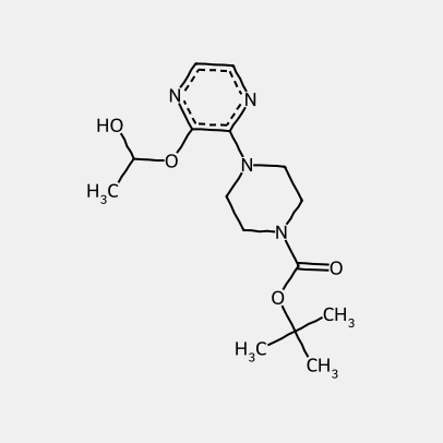 CC(O)Oc1nccnc1N1CCN(C(=O)OC(C)(C)C)CC1